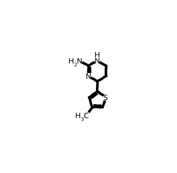 Cc1csc(C2CCNC(N)=N2)c1